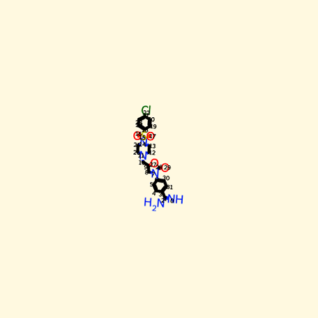 N=C(N)c1ccc(N2CC(CN3CCN(S(=O)(=O)c4ccc(Cl)cc4)CC3)OC2=O)cc1